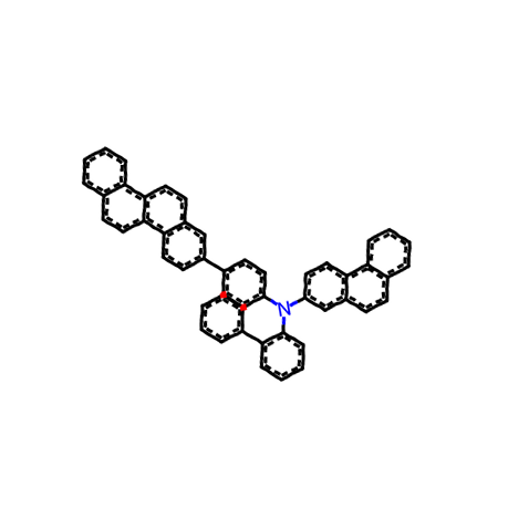 c1ccc(-c2ccccc2N(c2ccc(-c3ccc4c(ccc5c6ccccc6ccc45)c3)cc2)c2ccc3c(ccc4ccccc43)c2)cc1